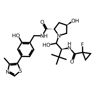 Cc1ncsc1-c1ccc(CNC(=O)[C@@H]2C[C@@H](O)CN2C(O)[C@@H](NC(=O)C2(F)CC2)C(C)(C)C)c(O)c1